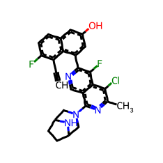 C#Cc1c(F)ccc2cc(O)cc(-c3ncc4c(N5CC6CCC(C5)N6)nc(C)c(Cl)c4c3F)c12